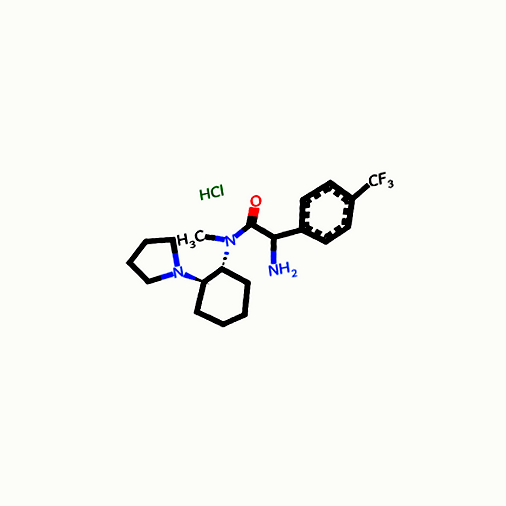 CN(C(=O)C(N)c1ccc(C(F)(F)F)cc1)[C@@H]1CCCC[C@H]1N1CCCC1.Cl